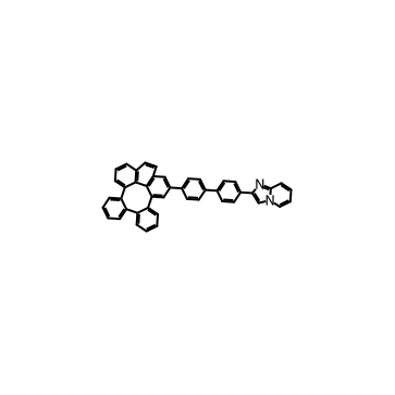 c1ccc2c(c1)c1ccccc1c1cc(-c3ccc(-c4ccc(-c5cn6ccccc6n5)cc4)cc3)cc3ccc4cccc2c4c31